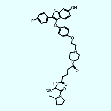 C[C@@H]1CCCN1C(=O)C(NC(=O)CCCC(=O)N1CCN(CCOc2ccc(Oc3c(-c4ccc(F)cc4)sc4cc(O)ccc34)cc2)CC1)C(C)(C)C